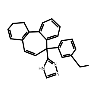 CCc1cccc(C2(c3nnc[nH]3)C=CC3=C(CCC=C3)c3ccccc32)c1